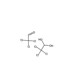 O=CC(Cl)(Cl)Cl.OC(O)C(Cl)(Cl)Cl